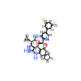 NC(=O)C(c1n[nH]c2c1C(/C=C/c1ccc(-c3cc(F)cc(F)c3)cn1)C1=C(CC3(CCCC3)CC1=O)N2)C1CC1